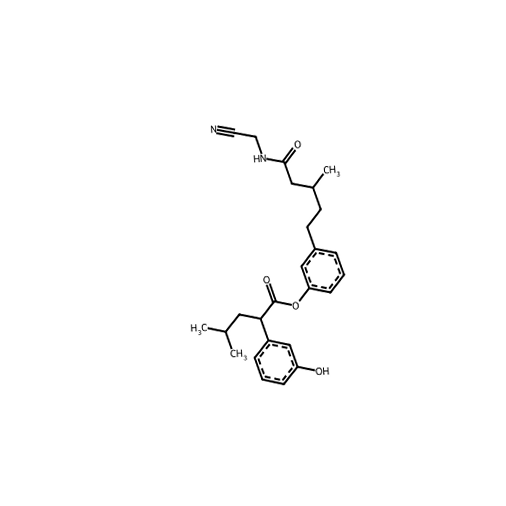 CC(C)CC(C(=O)Oc1cccc(CCC(C)CC(=O)NCC#N)c1)c1cccc(O)c1